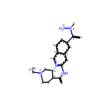 C=C(Nc1cc2cc(C(=C)N(C)N)ccc2cn1)C1CCN(CC(C)C)CC1